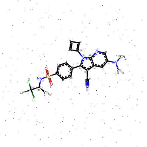 C[C@H](NS(=O)(=O)c1ccc(-c2c(C#N)c3cc(N(C)C)cnc3n2C2=CC=C2)cc1)C(F)(F)F